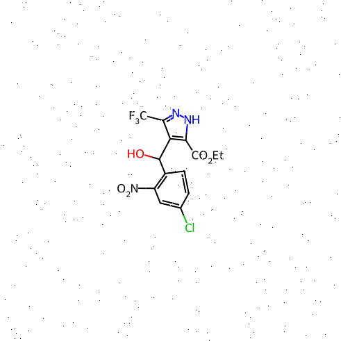 CCOC(=O)c1[nH]nc(C(F)(F)F)c1C(O)c1ccc(Cl)cc1[N+](=O)[O-]